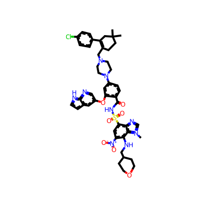 Cn1cnc2c(S(=O)(=O)NC(=O)c3ccc(N4CCN(CC5=C(c6ccc(Cl)cc6)CC(C)(C)CC5)CC4)cc3Oc3cnc4[nH]ccc4c3)cc([N+](=O)[O-])c(NCC3CCOCC3)c21